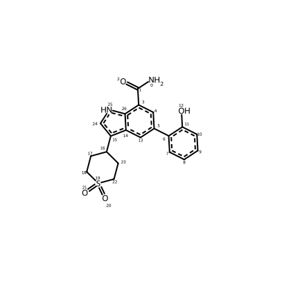 NC(=O)c1cc(-c2ccccc2O)cc2c(C3CCS(=O)(=O)CC3)c[nH]c12